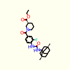 CCOC(=O)[C@H]1CCCN(C(=O)c2ccc(NC(=O)NC34CC5C[C@@](C)(C3)C[C@](C)(C5)C4)c(F)c2)C1